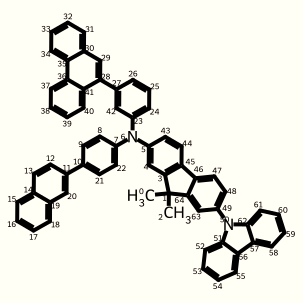 CC1(C)c2cc(N(c3ccc(-c4ccc5ccccc5c4)cc3)c3cccc(-c4cc5ccccc5c5ccccc45)c3)ccc2-c2ccc(-n3c4ccccc4c4ccccc43)cc21